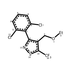 CCOCc1c(-c2c(Cl)cccc2Cl)nsc1C(F)(F)F